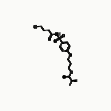 C=C(C)C(=O)OCCCOc1ccc(S(=O)(=O)NC(=O)CCCCl)cc1